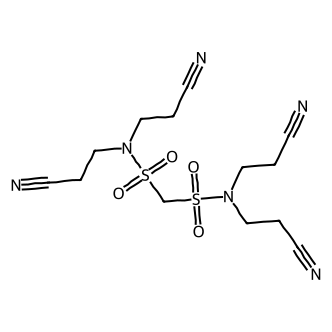 N#CCCN(CCC#N)S(=O)(=O)CS(=O)(=O)N(CCC#N)CCC#N